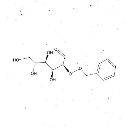 O=C[C@@H](OOCc1ccccc1)[C@@H](O)[C@H](O)[C@H](O)CO